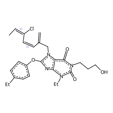 C=C(/C=C\C(Cl)=C/C)Cn1c(Oc2ccc(CC)cc2)nc2c1c(=O)n(CCCO)c(=O)n2CC